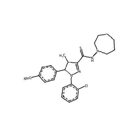 COc1ccc(C2C(C)C(C(=S)NN3CCCCCC3)=NN2c2ccccc2Cl)cc1